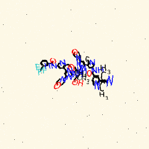 Cc1ncc(NC(=O)c2ccnc(C(C)(C)C#N)c2)cc1-c1cc(N2CCOCC2)nc(N[C@H](C)COCc2ncc(NC(=O)c3cccc(C(F)(F)F)c3)cc2-c2cc(N3CCOCC3)nc(N[C@H](C)CO)n2)n1